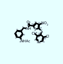 CC(=O)Nc1cccc(CNC(=O)c2cc([N+](=O)[O-])c(Sc3c(Cl)cncc3Cl)s2)c1